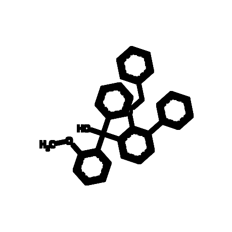 COc1ccccc1C(O)(c1ccccc1)c1cccc(-c2ccccc2)c1OCc1ccccc1